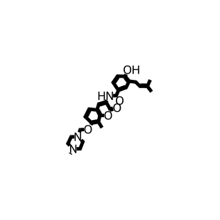 CC(C)=CCc1cc(C(=O)Nc2cc3ccc(OCN4CCN(C)CC4)c(C)c3oc2=O)ccc1O